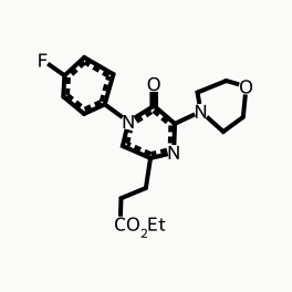 CCOC(=O)CCc1cn(-c2ccc(F)cc2)c(=O)c(N2CCOCC2)n1